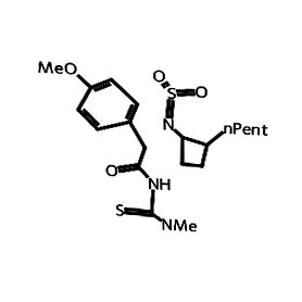 CCCCCC1CCC1N=S(=O)=O.CNC(=S)NC(=O)Cc1ccc(OC)cc1